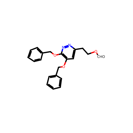 O=COCCc1cc(OCc2ccccc2)c(OCc2ccccc2)nn1